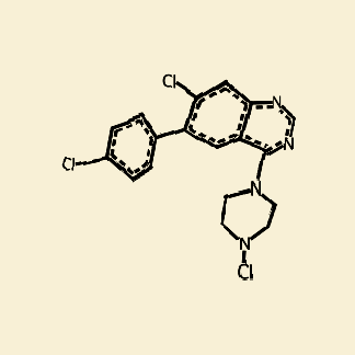 Clc1ccc(-c2cc3c(N4CCN(Cl)CC4)ncnc3cc2Cl)cc1